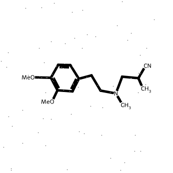 COc1ccc(CCN(C)CC(C)C#N)cc1OC